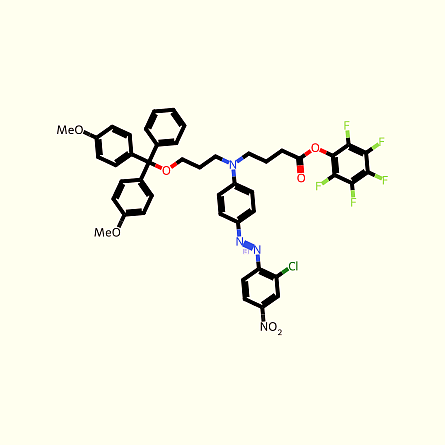 COc1ccc(C(OCCCN(CCCC(=O)Oc2c(F)c(F)c(F)c(F)c2F)c2ccc(/N=N/c3ccc([N+](=O)[O-])cc3Cl)cc2)(c2ccccc2)c2ccc(OC)cc2)cc1